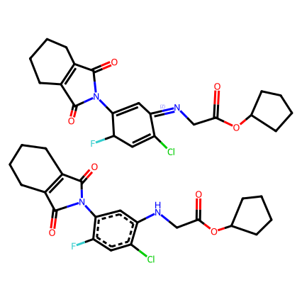 O=C(C/N=C1/C=C(N2C(=O)C3=C(CCCC3)C2=O)C(F)C=C1Cl)OC1CCCC1.O=C(CNc1cc(N2C(=O)C3=C(CCCC3)C2=O)c(F)cc1Cl)OC1CCCC1